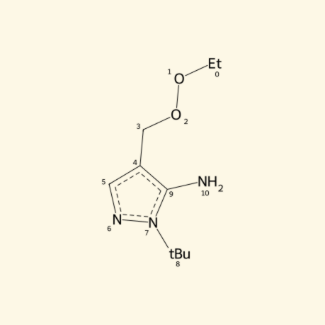 CCOOCc1cnn(C(C)(C)C)c1N